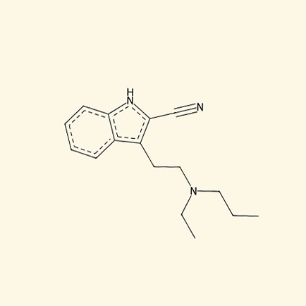 CCCN(CC)CCc1c(C#N)[nH]c2ccccc12